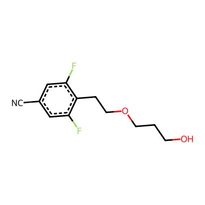 N#Cc1cc(F)c(CCOCCCO)c(F)c1